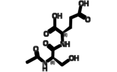 CC(=O)N[C@H](CO)C(=O)N[C@H](CCC(=O)O)C(=O)O